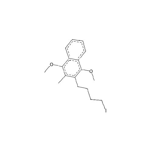 COc1c(C)c(CCCCI)c(OC)c2ccccc12